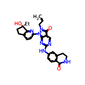 C=CCn1c(=O)c2cnc(Nc3ccc4c(c3)CCNC4=O)nc2n1-c1ccc2c(n1)[C@@](O)(CC)CC2